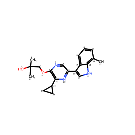 CC(C)(O)COc1ncc(-c2c[nH]c3c(C#N)cccc23)nc1C1CC1